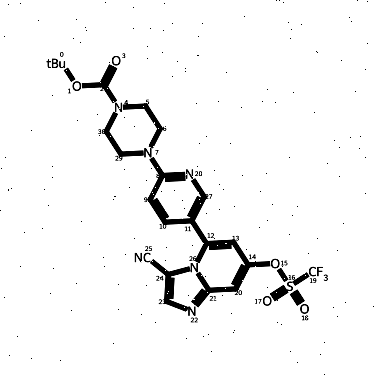 CC(C)(C)OC(=O)N1CCN(c2ccc(-c3cc(OS(=O)(=O)C(F)(F)F)cc4ncc(C#N)n34)cn2)CC1